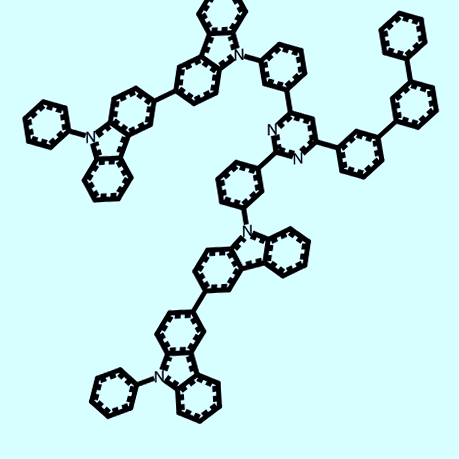 c1ccc(-c2cccc(-c3cccc(-c4cc(-c5cccc(-n6c7ccccc7c7cc(-c8ccc9c(c8)c8ccccc8n9-c8ccccc8)ccc76)c5)nc(-c5cccc(-n6c7ccccc7c7cc(-c8ccc9c(c8)c8ccccc8n9-c8ccccc8)ccc76)c5)n4)c3)c2)cc1